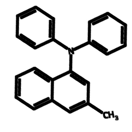 Cc1cc(N(c2ccccc2)c2ccccc2)c2ccccc2c1